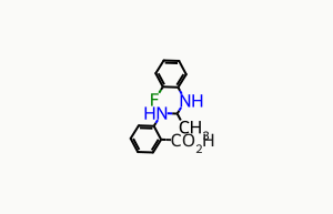 CC(Nc1ccccc1F)Nc1ccccc1C(=O)O